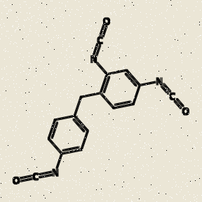 O=C=Nc1ccc(Cc2ccc(N=C=O)cc2N=C=O)cc1